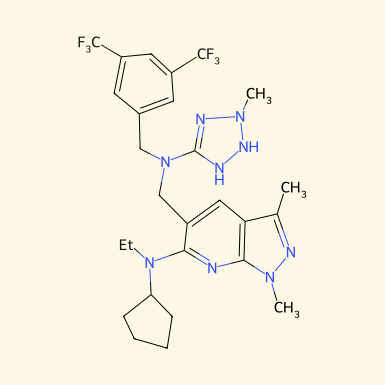 CCN(c1nc2c(cc1CN(Cc1cc(C(F)(F)F)cc(C(F)(F)F)c1)C1=NN(C)NN1)c(C)nn2C)C1CCCC1